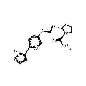 CC(=O)N1CCC[C@H]1CCOc1ccc(-c2ccn[nH]2)nc1